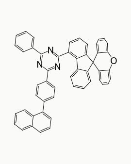 c1ccc(-c2nc(-c3ccc(-c4cccc5ccccc45)cc3)nc(-c3cccc4c3-c3ccccc3C43c4ccccc4Oc4ccccc43)n2)cc1